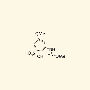 CONNc1cccc(OC)c1.O=S(=O)(O)O